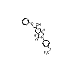 O=C1[C@H]2C[C@](O)(COc3ccccc3)C[C@H]2CN1c1ccc(OC(F)(F)F)cc1